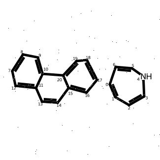 C1=CC=CNC=C1.c1ccc2c(c1)ccc1ccccc12